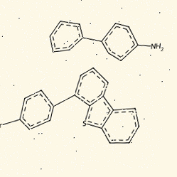 Brc1ccc(-c2cccc3c2sc2ccccc23)cc1.Nc1ccc(-c2ccccc2)cc1